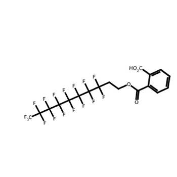 O=C(O)c1ccccc1C(=O)OCCC(F)(F)C(F)(F)C(F)(F)C(F)(F)C(F)(F)C(F)(F)C(F)(F)C(F)(F)F